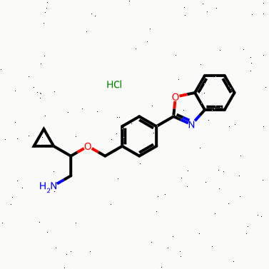 Cl.NCC(OCc1ccc(-c2nc3ccccc3o2)cc1)C1CC1